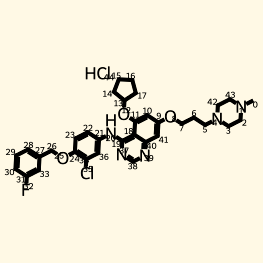 CN1CCN(CCCOc2cc(OC3CCCC3)c3c(Nc4ccc(OCc5cccc(F)c5)c(Cl)c4)ncnc3c2)CC1.Cl